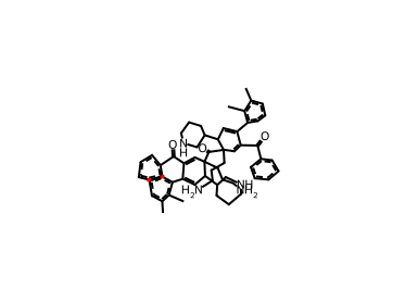 Cc1cccc(C2=CC(C3CCCNC3)C(CCCN)(C(=O)C3(CCCN)C=C(C(=O)c4ccccc4)C(c4cccc(C)c4C)=CC3C3CCCNC3)C=C2C(=O)c2ccccc2)c1C